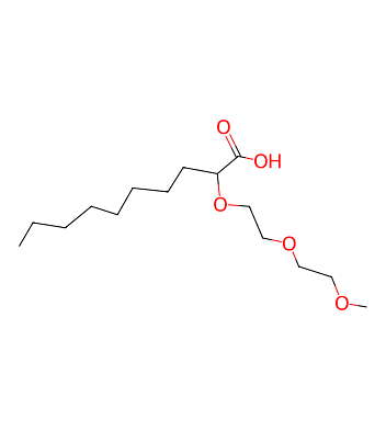 CCCCCCCCC(OCCOCCOC)C(=O)O